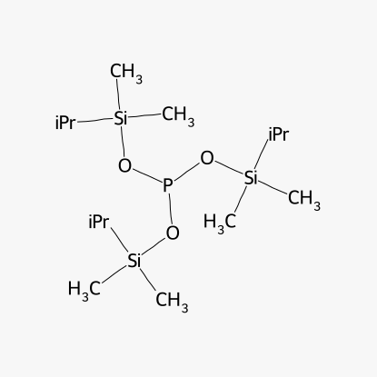 CC(C)[Si](C)(C)OP(O[Si](C)(C)C(C)C)O[Si](C)(C)C(C)C